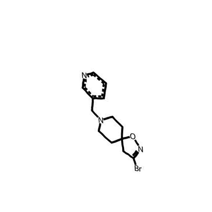 BrC1=NOC2(CCN(Cc3cccnc3)CC2)C1